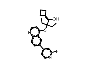 CCC(CC)(Sc1ccnc2ccc(-c3ccnc(F)c3)cc12)C(O)=C1CCC1